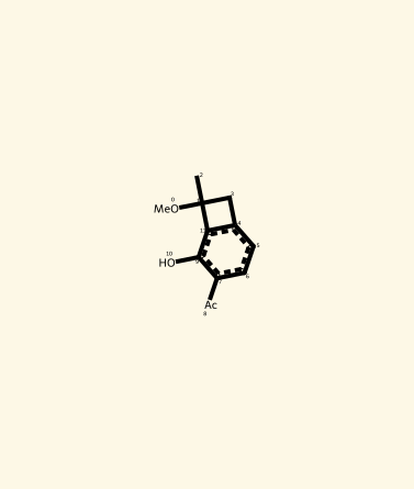 COC1(C)Cc2ccc(C(C)=O)c(O)c21